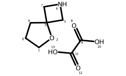 C1COC2(C1)CNC2.O=C(O)C(=O)O